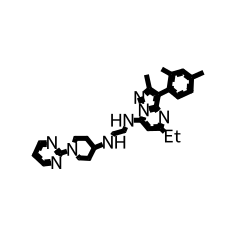 CCc1cc(NCCNC2CCN(c3ncccn3)CC2)n2nc(C)c(-c3ccc(C)cc3C)c2n1